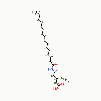 CCCCCCCCCCCCCCCC(=O)NCCC(CC(=O)O)SC